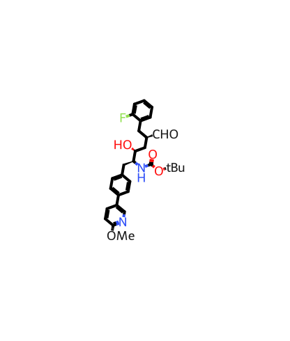 COc1ccc(-c2ccc(C[C@H](NC(=O)OC(C)(C)C)[C@@H](O)C[C@H](C=O)Cc3ccccc3F)cc2)cn1